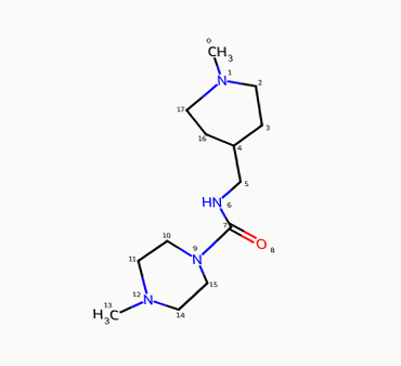 CN1CCC(CNC(=O)N2CCN(C)CC2)CC1